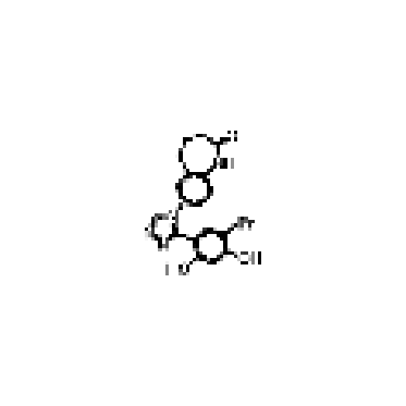 CC(C)c1cc(-c2nncn2-c2ccc3c(c2)CCCC(=O)N3)c(O)cc1O